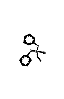 CC[Si](Br)(Oc1ccccc1)Oc1ccccc1